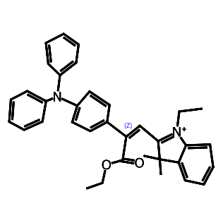 CCOC(=O)/C(=C\C1=[N+](CC)c2ccccc2C1(C)C)c1ccc(N(c2ccccc2)c2ccccc2)cc1